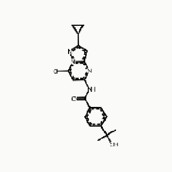 CC(C)(O)c1ccc(C(=O)Nc2cc(Cl)n3nc(C4CC4)cc3n2)cc1